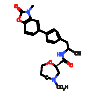 Cn1c(=O)oc2ccc(-c3ccc(CC(C#N)NC(=O)[C@@H]4CN(C(=O)O)CCCO4)cc3)cc21